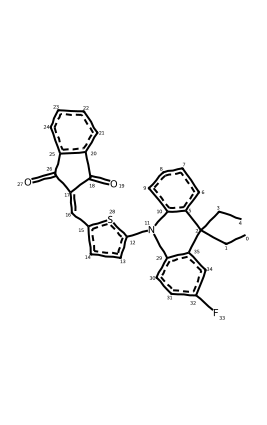 CCC1(CC)c2ccccc2N(c2ccc(C=C3C(=O)c4ccccc4C3=O)s2)c2ccc(F)cc21